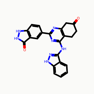 O=C1CCc2c(nc(-c3ccc4[nH][nH]c(=O)c4c3)nc2Nc2n[nH]c3ccccc23)C1